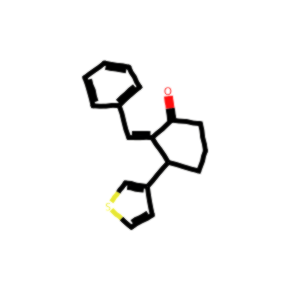 O=C1CCCC(c2ccsc2)C1=Cc1ccccc1